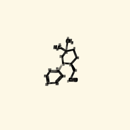 CC1(C)CC[C@@H](CC=O)[C@H](c2ccccc2)C1